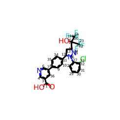 O=C(O)c1cncc(-c2ccc(C3CC(C(O)(C(F)(F)F)C(F)(F)F)=NN3c3ccccc3Cl)cc2)c1